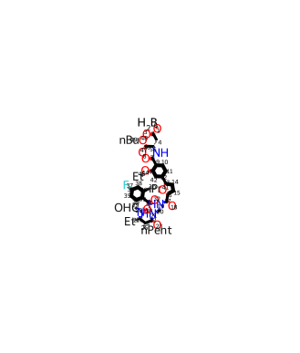 BOC(=O)C[C@H](NC(=O)c1ccc(-c2ccc(C(=O)NCNC(=O)[C@H](CCCCC)[C@@H](CC)N(C=O)OC(=O)c3ccc(F)cc3C(C)C)o2)cc1OCC)C(=O)OCCCC